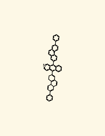 C1=CC2C3=C(C=CC2C=C1c1ccccc1)C=C(c1c2ccccc2c(-c2ccc4c(ccc5cc(-c6ccccc6)ccc54)c2)c2cnccc12)CC3